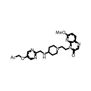 COc1ccc2ncc(=O)n(CCN3CCC(NCc4ncc(OCC(C)=O)cn4)CC3)c2n1